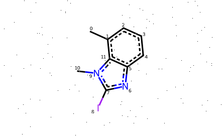 Cc1cccc2nc(I)n(C)c12